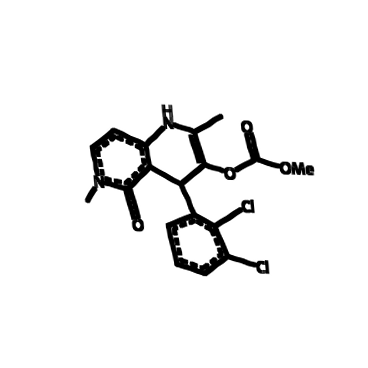 COC(=O)OC1=C(C)Nc2ccn(C)c(=O)c2C1c1cccc(Cl)c1Cl